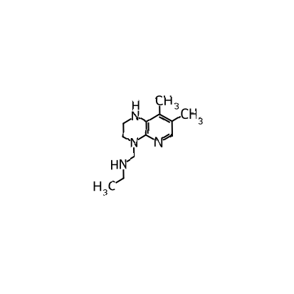 CCNCN1CCNc2c1ncc(C)c2C